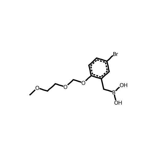 COCCOCOc1ccc(Br)cc1CB(O)O